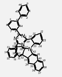 c1ccc(-c2cccc(-c3nc(-c4ccccc4)nc(-c4ccccc4-n4c5ccccc5c5cc6ccccc6cc54)n3)c2)cc1